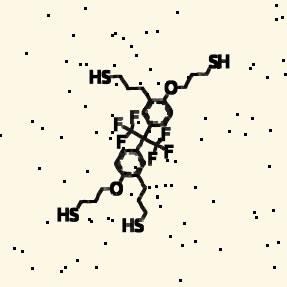 FC(F)(F)C(c1ccc(OCCCS)c(CCCS)c1)(c1ccc(OCCCS)c(CCCS)c1)C(F)(F)F